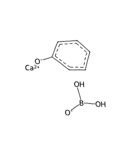 [Ca+2].[O-]B(O)O.[O-]c1ccccc1